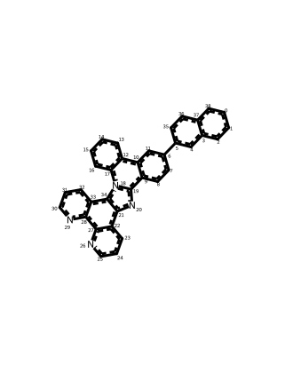 c1ccc2cc(-c3ccc4c(c3)c3ccccc3n3c4nc4c5cccnc5c5ncccc5c43)ccc2c1